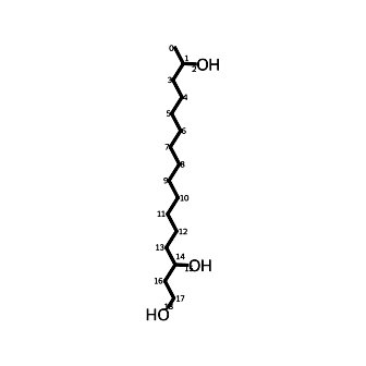 CC(O)CCCCCCCCCCCC(O)CCO